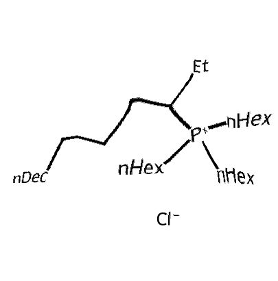 CCCCCCCCCCCCCC(CC)[P+](CCCCCC)(CCCCCC)CCCCCC.[Cl-]